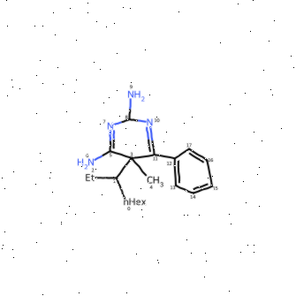 CCCCCCC(CC)C1(C)C(N)=NC(N)N=C1c1ccccc1